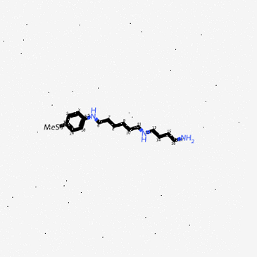 CSc1ccc(NCCCCCCNCCCCN)cc1